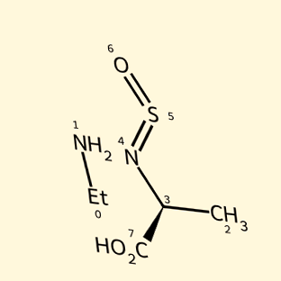 CCN.C[C@H](N=S=O)C(=O)O